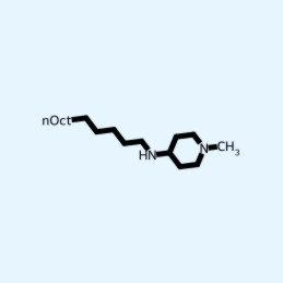 CCCCCCCCCCCCCNC1CCN(C)CC1